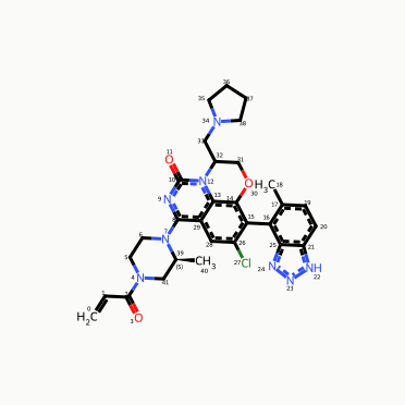 C=CC(=O)N1CCN(c2nc(=O)n3c4c(c(-c5c(C)ccc6[nH]nnc56)c(Cl)cc24)OCC3CN2CCCC2)[C@@H](C)C1